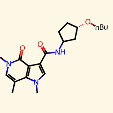 CCCCO[C@H]1CCC(NC(=O)c2cn(C)c3c(C)cn(C)c(=O)c23)C1